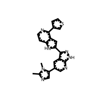 Cc1ncc(-c2cnc3[nH]nc(-c4cc5c(-c6ccsc6)nccc5[nH]4)c3c2)n1C